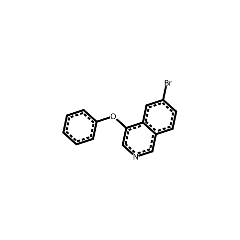 Brc1ccc2cncc(Oc3ccccc3)c2c1